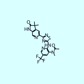 CC(=O)N(C)c1cc(C(F)(F)F)cnc1Nc1nc(-c2cc3c(cn2)NC(=O)C3(C)C)ns1